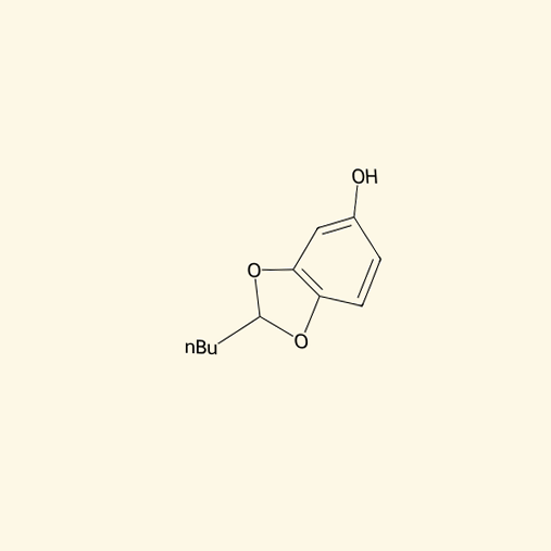 CCCCC1Oc2ccc(O)cc2O1